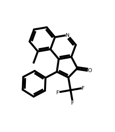 Cc1cccc2ncc3c(c12)C(c1ccccc1)=C(C(F)(F)F)C3=O